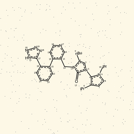 CCCCc1cn(-c2c(C(C)C)ccn2C(C)C)c(=O)n1Cc1cnccc1-c1ccccc1-c1nnn[nH]1